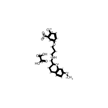 COc1ccc2c(c1)OC(CNCCCOc1ccc(Cl)c([N+](=O)[O-])c1)CC2.O=C(O)C(=O)O